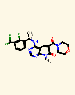 C[C@@H](Nc1ncnc2c1cc(C(=O)N1CCOCC1)c(=O)n2C)c1cccc(C(F)F)c1F